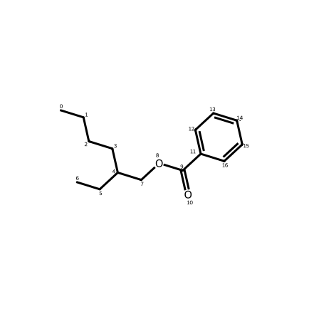 CCCCC(CC)COC(=O)c1cc[c]cc1